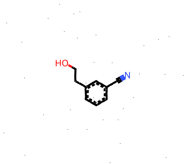 N#Cc1cccc(CCO)c1